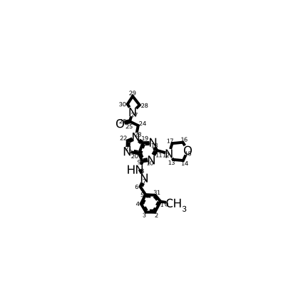 Cc1cccc(C=NNc2nc(N3CCOCC3)nc3c2ncn3CC(=O)N2CCC2)c1